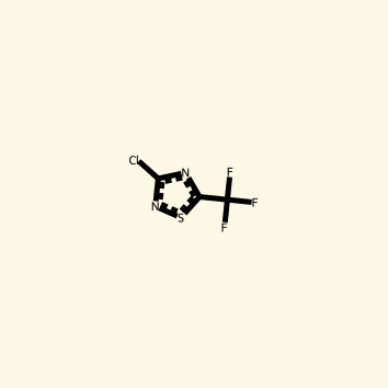 FC(F)(F)c1nc(Cl)ns1